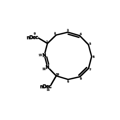 CCCCCCCCCCC1CC=CCCC=CCC(CCCCCCCCCC)N=N1